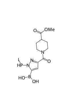 COC(=O)C1CCN(C(=O)c2cc(B(O)O)n(PI)n2)CC1